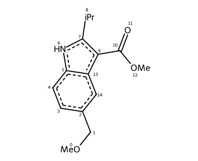 COCc1ccc2[nH]c(C(C)C)c(C(=O)OC)c2c1